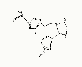 Cc1cc(C(=O)O)ccc1CCN1C(=O)CSC1c1ccc(F)cc1